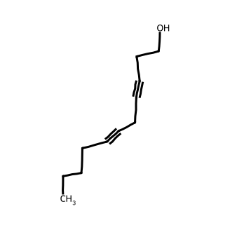 CCCCC#CCC#CCCO